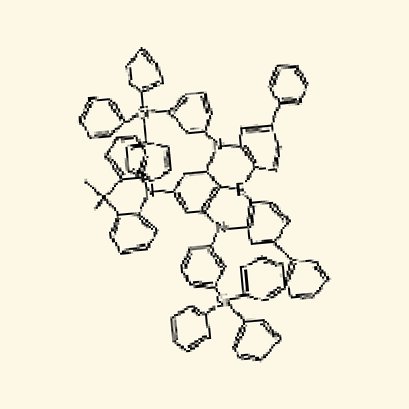 CC1(C)c2ccccc2N(c2cc3c4c(c2)N(c2cccc([Si](c5ccccc5)(c5ccccc5)c5ccccc5)c2)c2cc(-c5ccccc5)ccc2B4c2ccc(-c4ccccc4)cc2N3c2cccc([Si](c3ccccc3)(c3ccccc3)c3ccccc3)c2)c2ccccc21